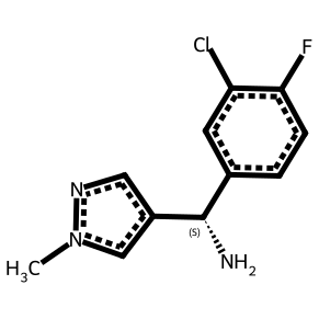 Cn1cc([C@@H](N)c2ccc(F)c(Cl)c2)cn1